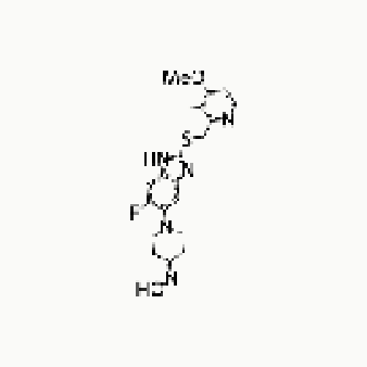 COc1ccnc(CSc2nc3cc(N4CCC(=NO)CC4)c(F)cc3[nH]2)c1C